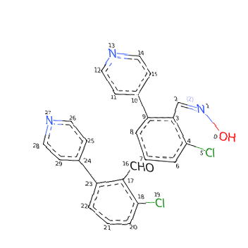 O/N=C\c1c(Cl)cccc1-c1ccncc1.O=Cc1c(Cl)cccc1-c1ccncc1